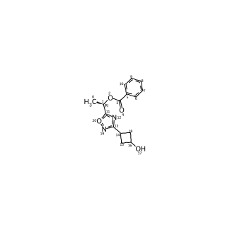 C[C@@H](OC(=O)c1ccccc1)c1nc(C2CC(O)C2)no1